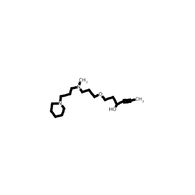 CC#CC(O)CCOCCCN(C)CCCN1CCCCC1